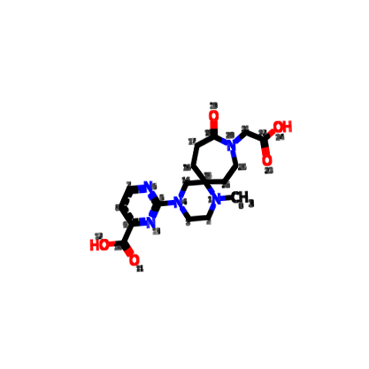 CN1CCN(c2nccc(C(=O)O)n2)CC12CCC(=O)N(CC(=O)O)CC2